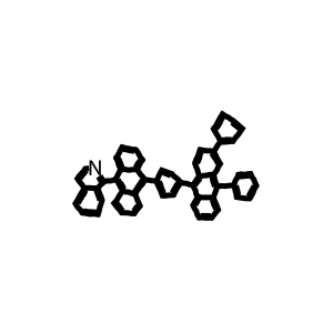 c1ccc(-c2ccc3c(-c4ccc(-c5c6ccccc6c(-c6nccc7ccccc67)c6ccccc56)cc4)c4ccccc4c(-c4ccccc4)c3c2)cc1